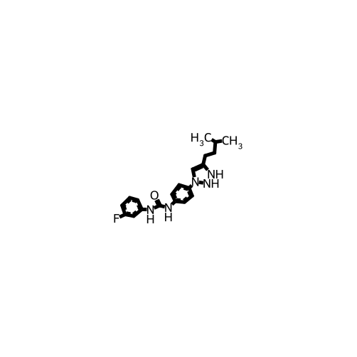 CC(C)CCC1=CN(c2ccc(NC(=O)Nc3cccc(F)c3)cc2)NN1